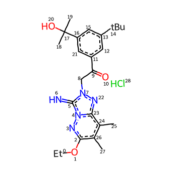 CCOc1nn2c(=N)n(CC(=O)c3cc(C(C)(C)C)cc(C(C)(C)O)c3)nc2c(C)c1C.Cl